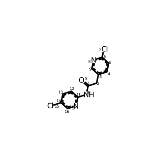 O=C(Cc1ccc(Cl)nc1)Nc1ccc(Cl)cn1